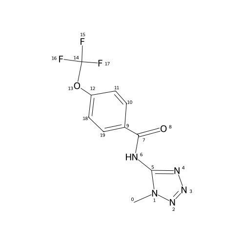 Cn1nnnc1NC(=O)c1ccc(OC(F)(F)F)cc1